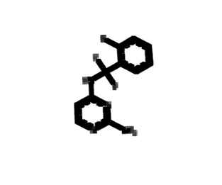 Nc1nccc(NC(F)(F)c2ccccc2F)n1